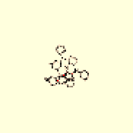 Cc1cc(C(c2ccccc2)c2ccccc2)c(N=C2C(=Nc3ccccc3)c3cccc4cccc2c34)c(C(c2ccccc2)c2ccccc2)c1.[Ni]